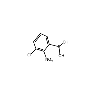 O=[N+]([O-])c1c(Cl)cccc1B(O)O